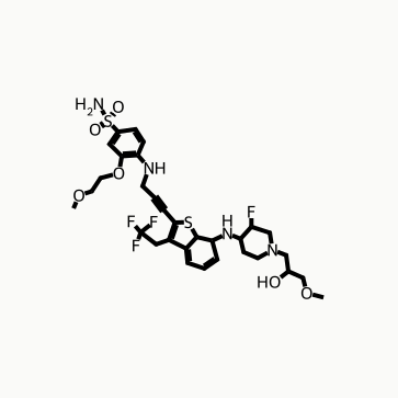 COCCOc1cc(S(N)(=O)=O)ccc1NCC#CC1=C(CC(F)(F)F)C2=CC=CC(NC3CCN(CC(O)COC)CC3F)C2S1